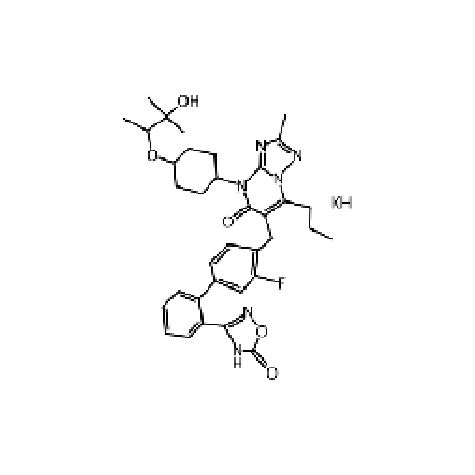 CCCc1c(Cc2ccc(-c3ccccc3-c3noc(=O)[nH]3)cc2F)c(=O)n(C2CCC(OC(C)C(C)(C)O)CC2)c2nc(C)nn12.[KH]